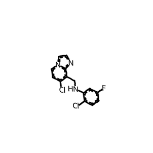 Fc1ccc(Cl)c(NCc2c(Cl)ccn3ccnc23)c1